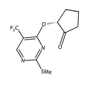 CSc1ncc(C(F)(F)F)c(O[C@@H]2CCCC2=O)n1